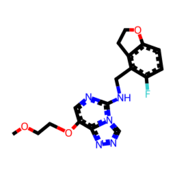 COCCOc1cnc(NCc2c(F)ccc3c2CCO3)n2cnnc12